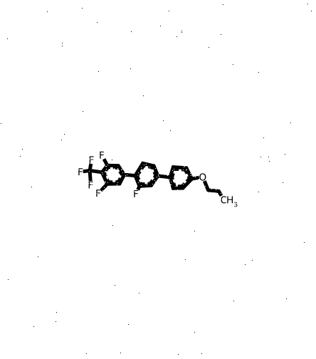 CCCOc1ccc(-c2ccc(-c3cc(F)c(C(F)(F)F)c(F)c3)c(F)c2)cc1